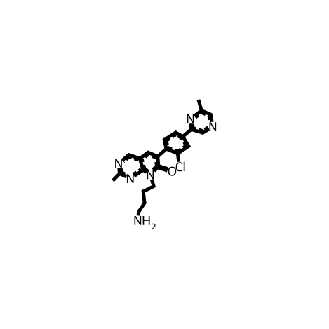 Cc1cncc(-c2ccc(-c3cc4cnc(C)nc4n(CCCCN)c3=O)c(Cl)c2)n1